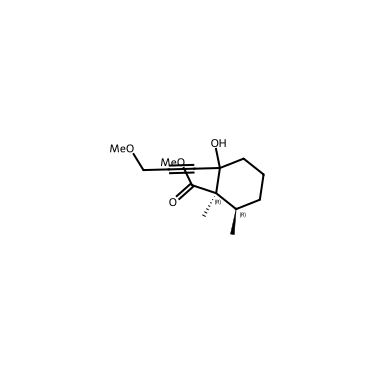 COCC#CC1(O)CCC[C@@H](C)[C@@]1(C)C(=O)OC